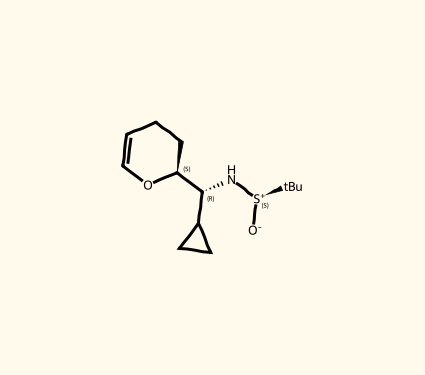 CC(C)(C)[S@@+]([O-])N[C@H](C1CC1)[C@@H]1CCC=CO1